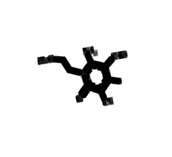 COCCn1c(N)c(C=O)c(C)c(C#N)c1=O